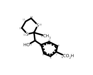 CC1(C(O)c2ccc(C(=O)O)cc2)SCCCS1